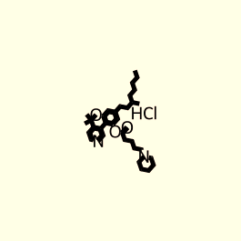 CCCCCC(C)CCc1cc(OC(=O)CCCCN2CCCCC2)c2c(c1)OC(C)(C)c1ccncc1-2.Cl